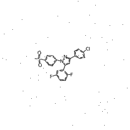 CS(=O)(=O)c1ccc(-n2nc(-c3ccc(Cl)cc3)cc2-c2cc(F)ccc2F)cc1